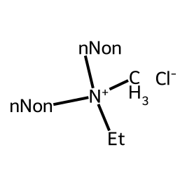 CCCCCCCCC[N+](C)(CC)CCCCCCCCC.[Cl-]